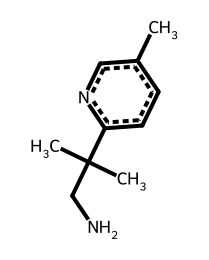 Cc1ccc(C(C)(C)CN)nc1